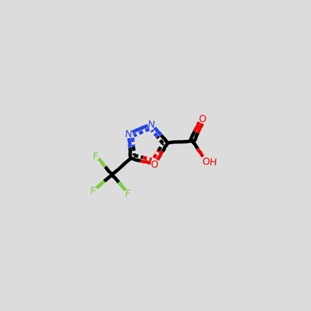 O=C(O)c1nnc(C(F)(F)F)o1